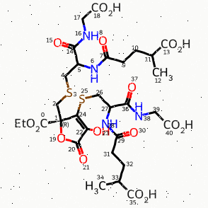 CCOC(=O)[C@]1(CSCC(NC(=O)CCC(C)C(=O)O)C(=O)NCC(=O)O)OC(=O)C(O)=C1SCC(NC(=O)CCC(C)C(=O)O)C(=O)NCC(=O)O